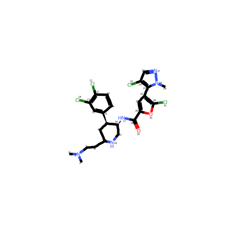 CN(C)CCC1C[C@@H](c2ccc(Cl)c(Cl)c2)[C@H](NC(=O)c2cc(-c3c(Cl)cnn3C)c(Cl)o2)CN1